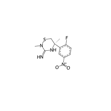 CN1SC[C@@](C)(c2cc([N+](=O)[O-])ccc2F)NC1=N